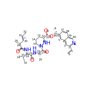 C=Cc1cc2cc([C@@H](C)OC(=O)C3CCCN(C(=O)[C@H](C)NC(=O)[C@@H](NC(=O)C(C)/C=C/C)C(C)C)N3)ccc2cn1